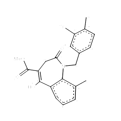 COC(=O)C1=C(O)c2cccc(C)c2N(Cc2ccc(C)c(F)c2)C(=O)C1